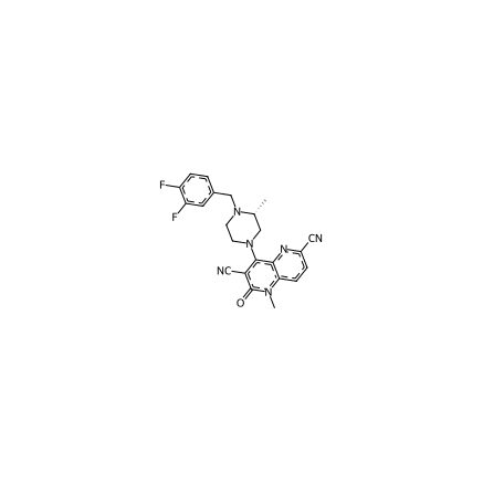 C[C@@H]1CN(c2c(C#N)c(=O)n(C)c3ccc(C#N)nc23)CCN1Cc1ccc(F)c(F)c1